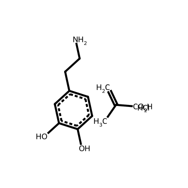 C=C(C)C(=O)O.Cl.NCCc1ccc(O)c(O)c1